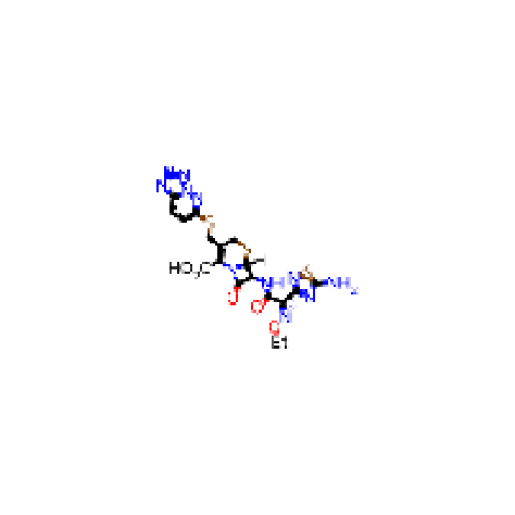 CCO/N=C(\C(=O)NC1C(=O)N2C(C(=O)O)=C(CSc3ccc4nnnn4n3)CS[C@H]12)c1nsc(N)n1